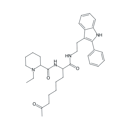 CCN1CCCCC1C(=O)NC(CCCCCC(C)=O)C(=O)NCCc1c(-c2ccccc2)[nH]c2ccccc12